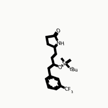 CC(C)(C)[Si](C)(C)OC(CCC1CCC(=O)N1)Cc1cccc(C(F)(F)F)c1